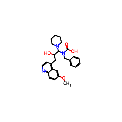 COc1ccc2nccc(CC(O)C(N3CCCCC3)N(Cc3ccccc3)C(=O)O)c2c1